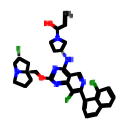 C=CC(O)N1CC[C@@H](Nc2nc(OC[C@@]34CCCN3C[C@H](F)C4)nc3c(F)c(-c4cccc5cccc(Cl)c45)ncc23)C1